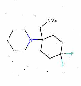 CNCC1(N2CCCCC2)CCC(F)(F)CC1